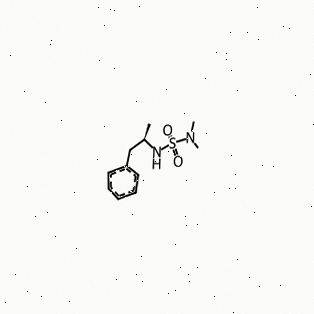 C[C@H](Cc1ccccc1)NS(=O)(=O)N(C)C